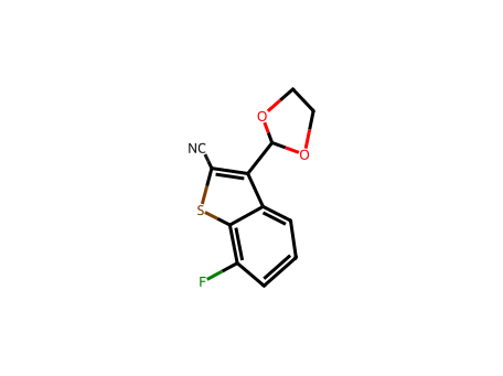 N#Cc1sc2c(F)cccc2c1C1OCCO1